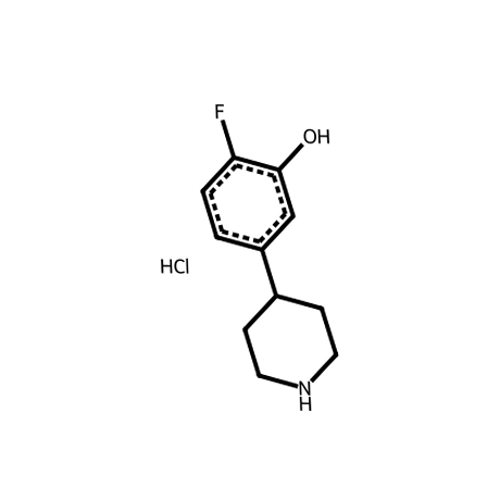 Cl.Oc1cc(C2CCNCC2)ccc1F